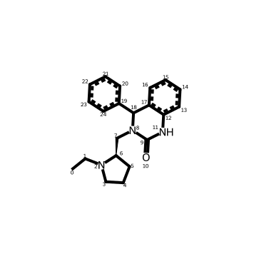 CCN1CCC[C@@H]1CN1C(=O)Nc2ccccc2C1c1ccccc1